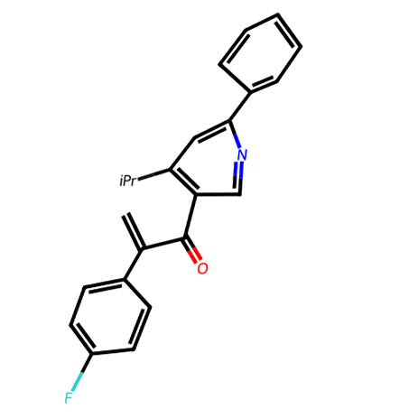 C=C(C(=O)c1cnc(-c2ccccc2)cc1C(C)C)c1ccc(F)cc1